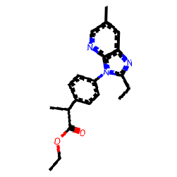 CCOC(=O)C(C)c1ccc(-n2c(CC)nc3cc(C)cnc32)cc1